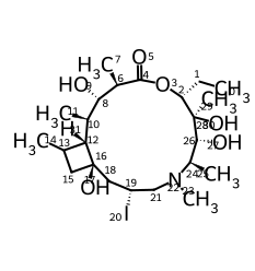 CC[C@H]1OC(=O)[C@H](C)[C@@H](O)[C@H](C)[C@H]2C(C)C[C@@]2(O)C[C@@H](I)CN(C)[C@H](C)[C@@H](O)[C@]1(C)O